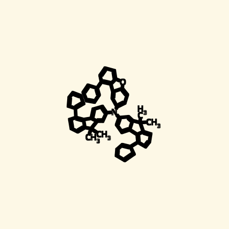 CC1(C)c2cc(N(c3ccc4c(c3)C(C)(C)c3cccc(-c5ccccc5)c3-4)c3ccc4oc5cccc(-c6ccccc6)c5c4c3)ccc2-c2c(-c3ccccc3)cccc21